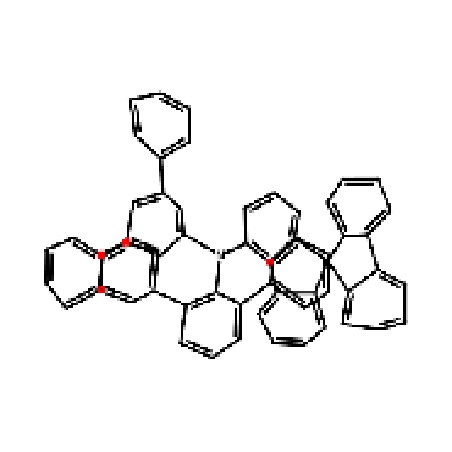 c1ccc(-c2cc(-c3ccccc3)cc(N(c3cccc4c3-c3ccccc3C43c4ccccc4-c4ccccc43)c3c(-c4ccccc4)cccc3-c3ccccc3)c2)cc1